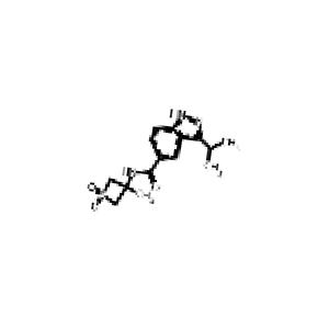 CC(C)c1n[nH]c2ccc(C(=O)NC3(C)CS(=O)(=O)C3)cc12